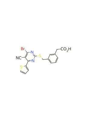 N#Cc1c(Br)nc(SCc2cccc(CC(=O)O)c2)nc1-c1cccs1